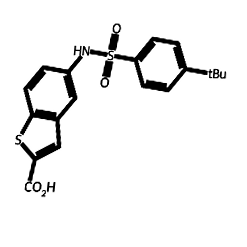 CC(C)(C)c1ccc(S(=O)(=O)Nc2ccc3sc(C(=O)O)cc3c2)cc1